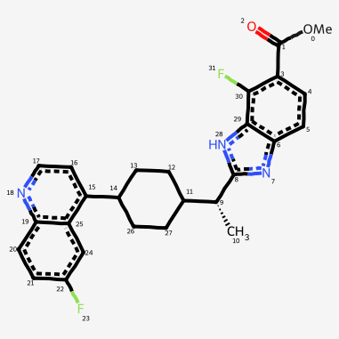 COC(=O)c1ccc2nc([C@H](C)C3CCC(c4ccnc5ccc(F)cc45)CC3)[nH]c2c1F